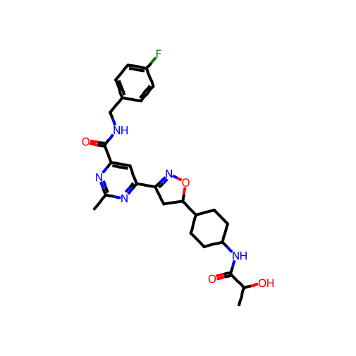 Cc1nc(C(=O)NCc2ccc(F)cc2)cc(C2=NOC(C3CCC(NC(=O)C(C)O)CC3)C2)n1